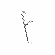 CCCCCCCC=C(CCO)CCCCCC